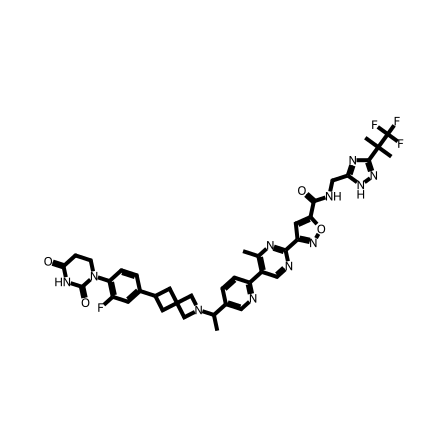 Cc1nc(-c2cc(C(=O)NCc3nc(C(C)(C)C(F)(F)F)n[nH]3)on2)ncc1-c1ccc(C(C)N2CC3(CC(c4ccc(N5CCC(=O)NC5=O)c(F)c4)C3)C2)cn1